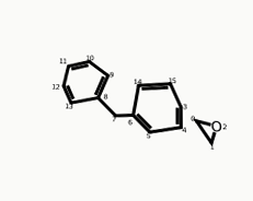 C1CO1.c1ccc(Cc2ccccc2)cc1